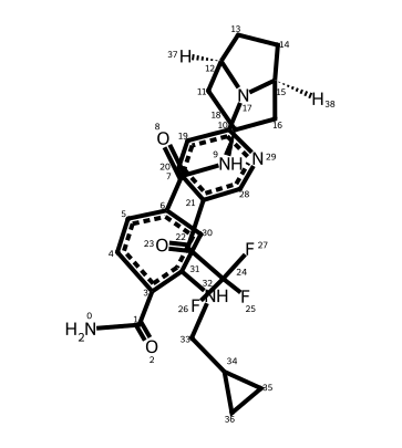 NC(=O)c1ccc(C(=O)N[C@H]2C[C@H]3CC[C@@H](C2)N3c2ccc(C(=O)C(F)(F)F)cn2)cc1NCC1CC1